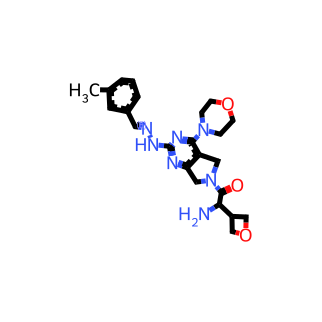 Cc1cccc(/C=N/Nc2nc3c(c(N4CCOCC4)n2)CN(C(=O)C(N)C2COC2)C3)c1